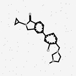 CN1CCN(Cc2ccc(-c3ccc4c(c3)CN(C3CC3)C4=O)cc2Cl)C1